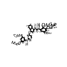 COc1cc(Nc2nccc(Oc3ccc(NC(=O)Nc4cc(C(C)(C)C)cc(OCP(C)(C)=O)c4OC)c4ccccc34)n2)cc(OC)c1